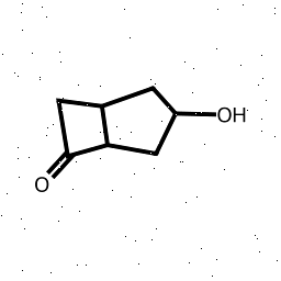 O=C1CC2CC(O)CC12